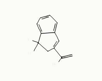 O=C(O)C1=Cc2ccccc2C(O)(O)C1